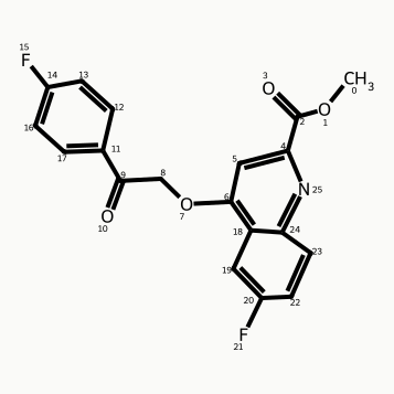 COC(=O)c1cc(OCC(=O)c2ccc(F)cc2)c2cc(F)ccc2n1